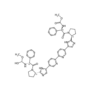 COC(=O)N[C@@H](C(=O)N1CCC[C@H]1c1ncc(-c2ccc(-c3ccc(-c4cnc([C@@H]5CCCN5C(=O)[C@H](NC(O)OC)c5ccccc5)[nH]4)cn3)nc2)[nH]1)c1ccccc1